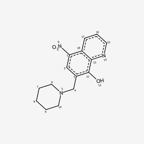 O=[N+]([O-])c1cc(CN2CCCCC2)c(O)c2ncccc12